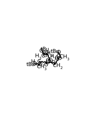 C=C(CCCC(=O)OC(C)(C)CCOC(C)(C)C)OCC(COC(=O)CCCC(=C)OC(C)CCOC(C)(C)C)OC(=O)CCCC(=O)OC(C)(C)CCOC(C)(C)C